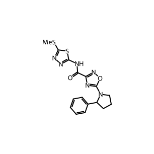 CSc1nnc(NC(=O)c2noc(N3CCCC3c3ccccc3)n2)s1